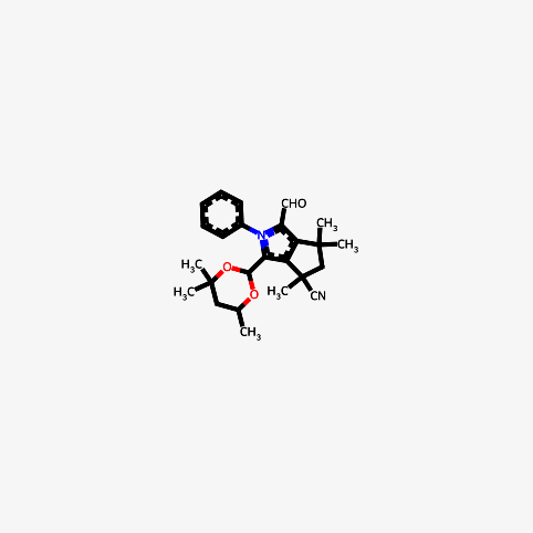 CC1CC(C)(C)OC(c2c3c(c(C=O)n2-c2ccccc2)C(C)(C)CC3(C)C#N)O1